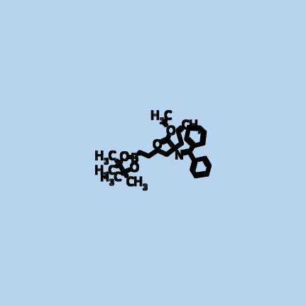 C=CCC(CCCCB1OC(C)(C)C(C)(C)O1)(N=C(c1ccccc1)c1ccccc1)C(=O)OCC